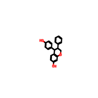 Oc1ccc(C2c3ccc(O)cc3OCC2c2ccccc2)cc1